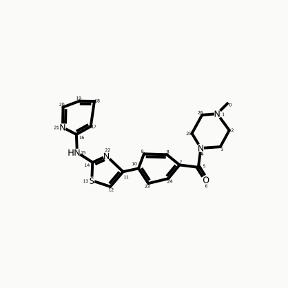 CN1CCN(C(=O)c2ccc(-c3csc(Nc4ccccn4)n3)cc2)CC1